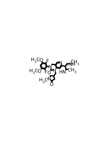 CN/C=C(\C(C)=N)c1cc2c(cn1)CN(c1c(F)c(OC)cc(OC)c1F)C(=O)N2CC1CC(=O)N(C)C1